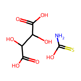 NC(O)=S.O=C(O)C(O)C(O)C(=O)O